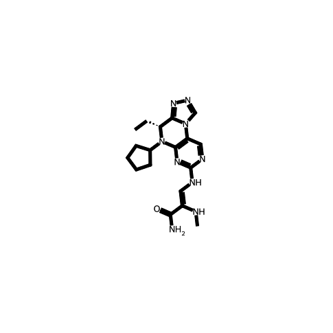 CC[C@@H]1c2nncn2-c2cnc(N/C=C(\NC)C(N)=O)nc2N1C1CCCC1